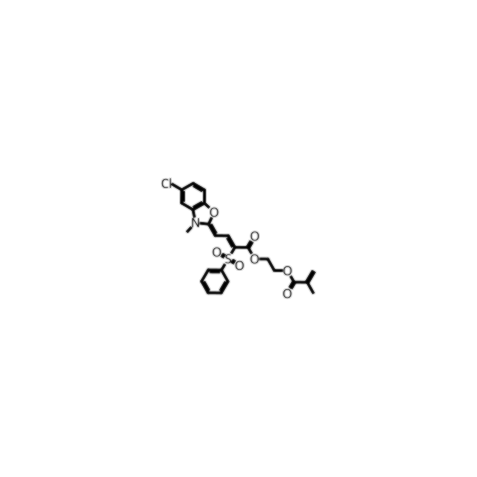 C=C(C)C(=O)OCCOC(=O)/C(=C/C=C1\Oc2ccc(Cl)cc2N1C)S(=O)(=O)c1ccccc1